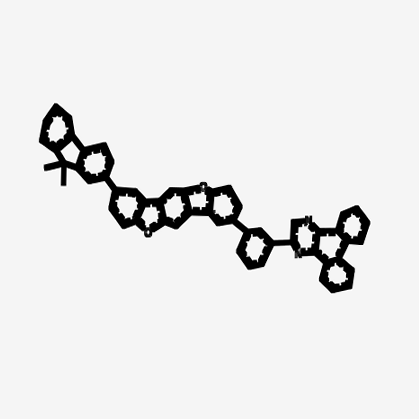 CC1(C)c2ccccc2-c2ccc(-c3ccc4oc5cc6c(cc5c4c3)oc3ccc(-c4cccc(-c5cnc7c8ccccc8c8ccccc8c7n5)c4)cc36)cc21